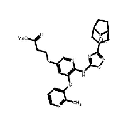 COC(=O)CCSc1cnc(Nc2nc(C3CC4CCC(C3)N4C(=O)O)ns2)c(Oc2cccnc2C)c1